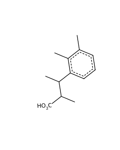 Cc1cccc(C(C)C(C)C(=O)O)c1C